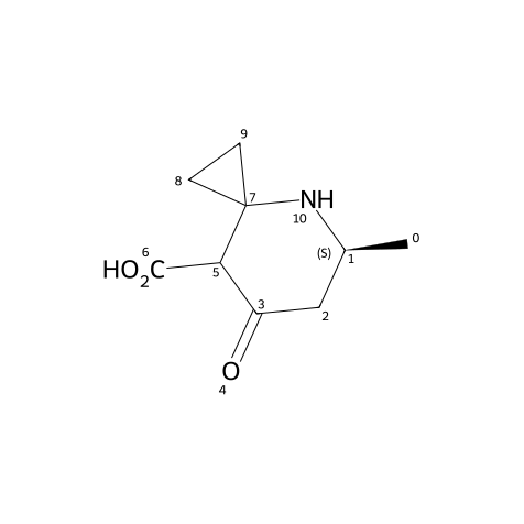 C[C@H]1CC(=O)C(C(=O)O)C2(CC2)N1